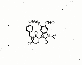 COc1ccc(CN2C(=O)CCC(n3c(=O)n(C4CC4)c4cc(C=O)c(F)cc43)C2=O)cc1